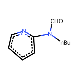 CCCCN([C]=O)c1ccccn1